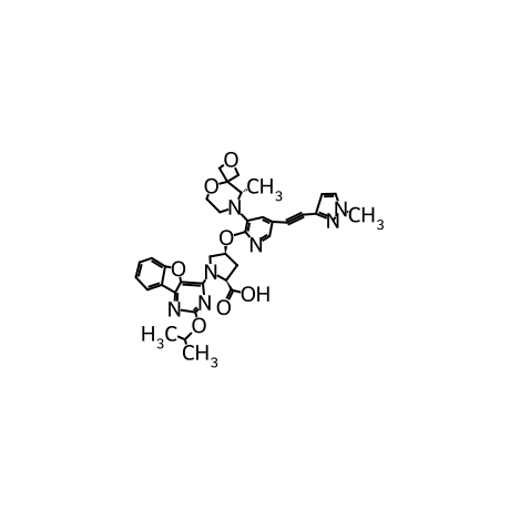 CC(C)Oc1nc(N2C[C@@H](Oc3ncc(C#Cc4ccn(C)n4)cc3N3CCOC4(COC4)[C@@H]3C)C[C@H]2C(=O)O)c2oc3ccccc3c2n1